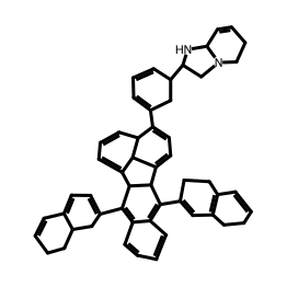 C1=CC(C2CN3CCC=CC3N2)CC(C2=CC=C3C4C(=CC=CC24)C2C(C4=CC=C5C=CCCC5C4)=c4ccccc4=C(C4=CC5=C(C=CCC5)CC4)C32)=C1